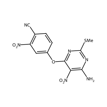 CSc1nc(N)c([N+](=O)[O-])c(Oc2ccc(C#N)c([N+](=O)[O-])c2)n1